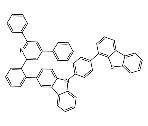 c1ccc(-c2cc(-c3ccccc3)nc(-c3ccccc3-c3ccc4c(c3)c3ccccc3n4-c3ccc(-c4cccc5c4sc4ccccc45)cc3)c2)cc1